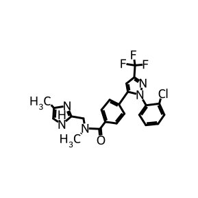 Cc1c[nH]c(CN(C)C(=O)c2ccc(-c3cc(C(F)(F)F)nn3-c3ccccc3Cl)cc2)n1